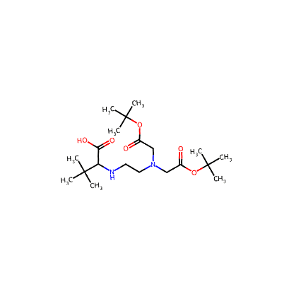 CC(C)(C)OC(=O)CN(CCNC(C(=O)O)C(C)(C)C)CC(=O)OC(C)(C)C